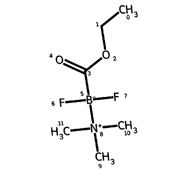 CCOC(=O)[B-](F)(F)[N+](C)(C)C